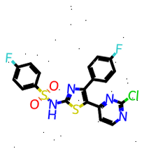 O=S(=O)(Nc1nc(-c2ccc(F)cc2)c(-c2ccnc(Cl)n2)s1)c1ccc(F)cc1